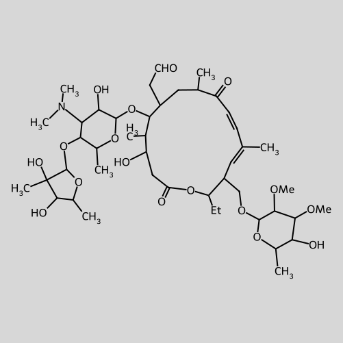 CCC1OC(=O)CC(O)C(C)C(OC2OC(C)C(OC3OC(C)C(O)C3(C)O)C(N(C)C)C2O)C(CC=O)CC(C)C(=O)/C=C/C(C)=C/C1COC1OC(C)C(O)C(OC)C1OC